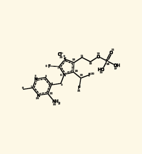 Cc1ncc(C[n+]2c(F)sc(CCOP(=O)(O)O)c2C(F)F)c(N)n1.[Cl-]